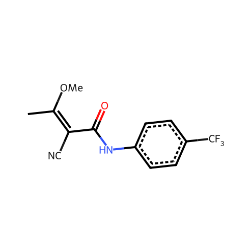 CO/C(C)=C(/C#N)C(=O)Nc1ccc(C(F)(F)F)cc1